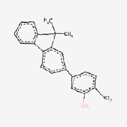 Bc1cc(-c2ccc3c(c2)C(C)(C)c2ccccc2-3)ccc1[N+](=O)[O-]